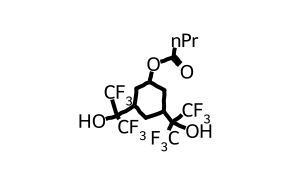 CCCC(=O)OC1CC(C(O)(C(F)(F)F)C(F)(F)F)CC(C(O)(C(F)(F)F)C(F)(F)F)C1